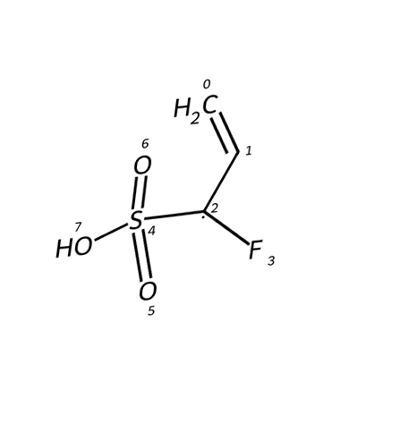 C=C[C](F)S(=O)(=O)O